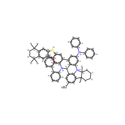 CCCCc1cc2c3c(c1)C1(C)CCCCC1(C)N3c1cc(N(c3ccccc3)c3ccccc3)cc3c1B2N(c1ccccc1-c1ccccc1)c1cc2c(cc1-3)sc1cc3c(cc12)C(C)(C)CCC3(C)C